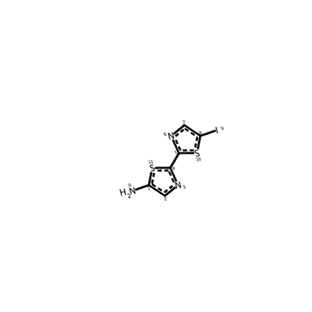 Nc1cnc(-c2ncc(I)s2)s1